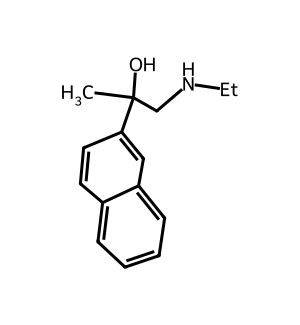 CCNCC(C)(O)c1ccc2ccccc2c1